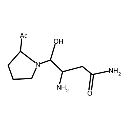 CC(=O)C1CCCN1C(O)C(N)CC(N)=O